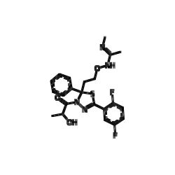 CN=C(C)NOCCC1(c2ccccc2)SC(c2cc(F)ccc2F)=NN1C(=O)C(C)O